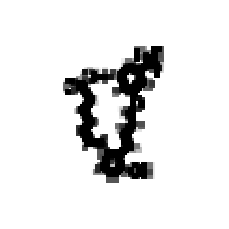 O=C(O)CCC/C=C\C[C@H]1CC[C@@H](O)C1/C=C/CCOc1cccc(C(F)(F)F)c1